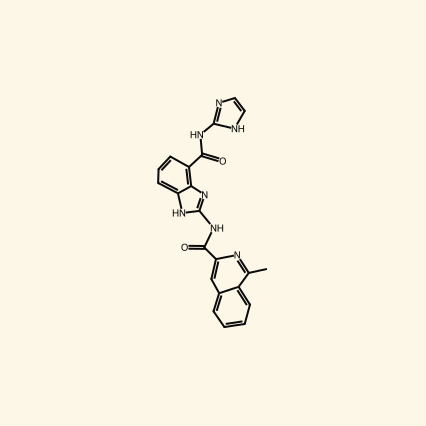 Cc1nc(C(=O)Nc2nc3c(C(=O)Nc4ncc[nH]4)cccc3[nH]2)cc2ccccc12